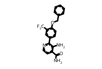 NC(=O)c1ccnc(-c2ccc(OCc3ccccc3)c(C(F)(F)F)c2)c1N